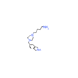 NCCCCCN1CCN(Cc2ccc3c(c2)CNC3)CC1